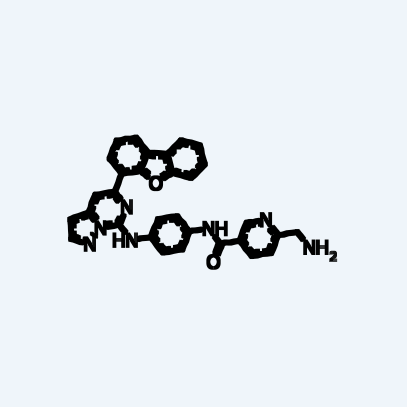 NCc1ccc(C(=O)Nc2ccc(Nc3nc(-c4cccc5c4oc4ccccc45)cc4ccnn34)cc2)cn1